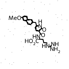 COc1ccc2cc(Cc3ccc(C(=O)N[C@@H](CCCNC(=N)N)C(=O)O)c(=O)[nH]3)ccc2c1